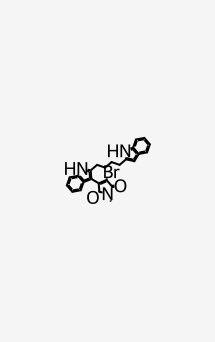 CN1C(=O)C(Br)=C(c2c(CCCCc3cc4ccccc4[nH]3)[nH]c3ccccc23)C1=O